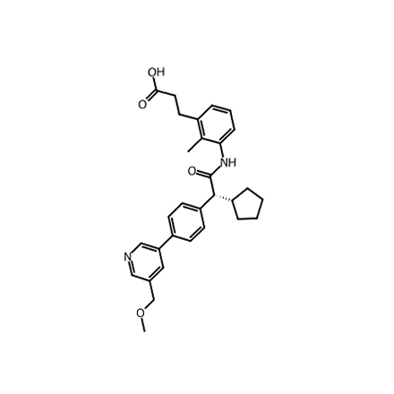 COCc1cncc(-c2ccc([C@H](C(=O)Nc3cccc(CCC(=O)O)c3C)C3CCCC3)cc2)c1